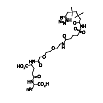 CCCC(NC(=O)CCC(NC(=O)COCCOCCNC(=O)CCCS(=O)(=O)NC(=O)CC(C)(C)CC(C)(C)Cc1nnn[nH]1)C(=O)O)C(=O)O